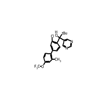 Cc1cc(OC(F)(F)F)ccc1-c1ccc(C(O)(c2cncnc2)C(C)(C)C)c(Cl)c1